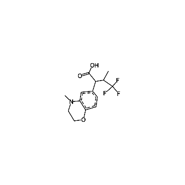 CC(C(C(=O)O)c1ccc2c(c1)N(C)CCO2)C(F)(F)F